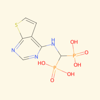 O=P(O)(O)C(Nc1ncnc2sccc12)P(=O)(O)O